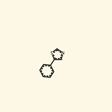 [c]1ncsc1-c1ccccc1